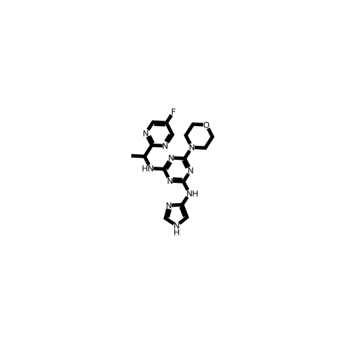 CC(Nc1nc(Nc2c[nH]cn2)nc(N2CCOCC2)n1)c1ncc(F)cn1